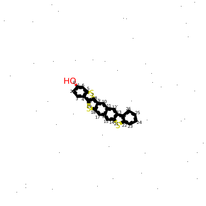 Oc1ccc2c(c1)sc1c3cc4cc5c(cc4cc3sc21)sc1ccccc15